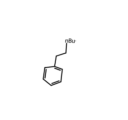 CCC[CH]CCc1ccccc1